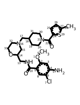 COc1cc(N)c(Cl)cc1C(=O)NCC1CN(CC2CCN(C(=O)c3ccc(C)s3)CC2)CCO1